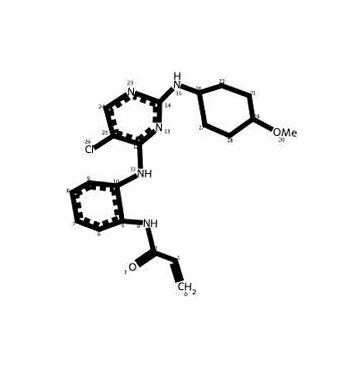 C=CC(=O)Nc1ccccc1Nc1nc(NC2CCC(OC)CC2)ncc1Cl